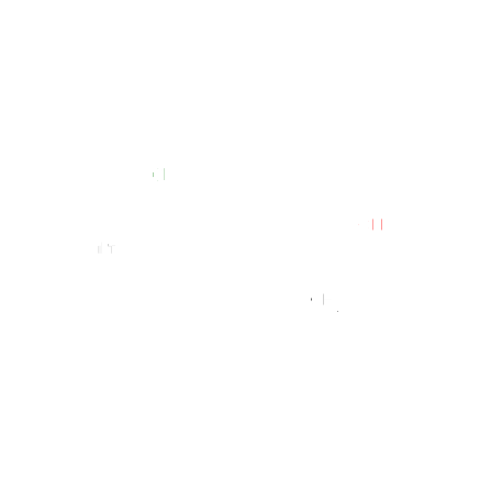 [CH2]C(CO)c1ccc(C(C)C)c(Cl)c1